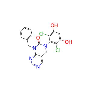 O=C1N(Cc2ccccc2)c2ncncc2CN1c1c(Cl)c(O)cc(O)c1Cl